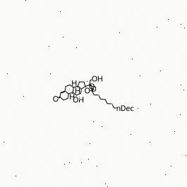 CCCCCCCCCCCCCCCCCC(=O)O[C@]1(C(=O)CO)CC[C@H]2[C@@H]3CCC4=CC(=O)CC[C@]4(C)[C@H]3[C@@H](O)C[C@@]21C